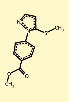 COC(=O)c1ccc(-n2nccc2SC)cc1